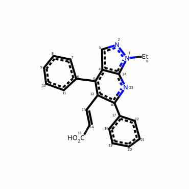 CCn1ncc2c(-c3ccccc3)c(C=CC(=O)O)c(-c3ccccc3)nc21